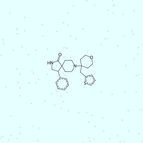 O=C1NCC(c2ccccc2)C12CCN(C1(Cc3cccs3)CCOCC1)CC2